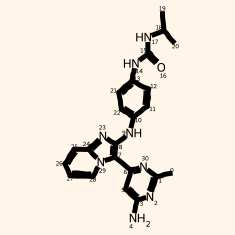 Cc1nc(N)cc(-c2c(Nc3ccc(NC(=O)NC(C)C)cc3)nc3ccccn23)n1